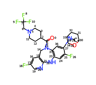 O=C(C1CCN(CC(F)(F)F)CC1)N1Cc2cc(F)cnc2Nc2cc(F)c(N3CC4CCC3CO4)cc21